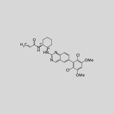 C=CC(=O)N[C@H]1CCCC[C@H]1Nc1ncc2cc(-c3c(Cl)c(OC)cc(OC)c3Cl)ccc2n1